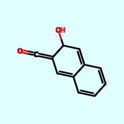 O=C=C1C=c2ccccc2=CC1O